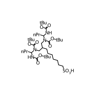 CCCC(NC(=O)OC(C)(C)C)N(CC(CCCCCCCS(=O)(=O)O)CN(C(=O)OC(C)(C)C)C(CCC)NC(=O)OC(C)(C)C)C(=O)OC(C)(C)C